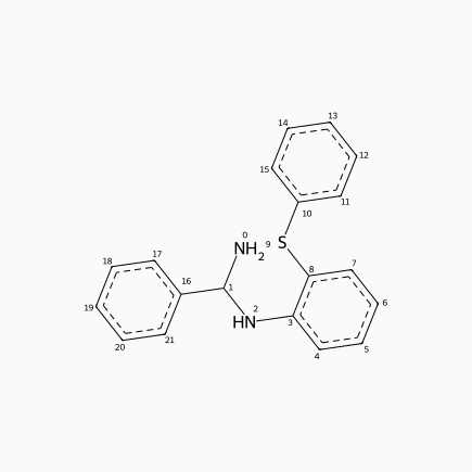 NC(Nc1ccccc1Sc1ccccc1)c1ccccc1